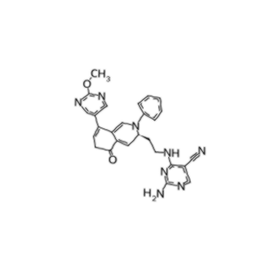 COc1ncc(C2=CCC(=O)C3=C[C@H](CCNc4nc(N)ncc4C#N)N(c4ccccc4)C=C32)cn1